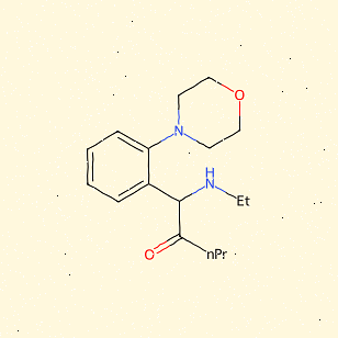 CCCC(=O)C(NCC)c1ccccc1N1CCOCC1